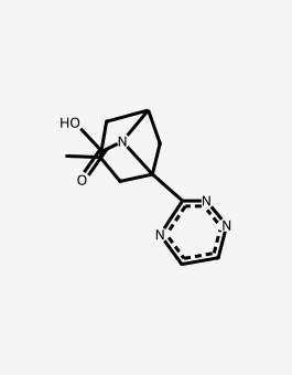 CC1CC2CC(c3nccnn3)(C1)N2C(=O)O